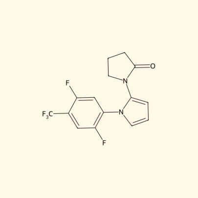 O=C1CCCN1c1cccn1-c1cc(F)c(C(F)(F)F)cc1F